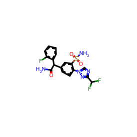 NC(=O)C(c1ccc(-n2cnc(C(F)F)n2)c(S(N)(=O)=O)c1)c1ccccc1F